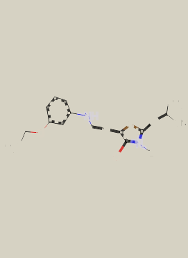 CCn1c(=C=C(C#N)C(=O)O)sc(=C=CNc2cccc(OCC(=O)O)c2)c1=O